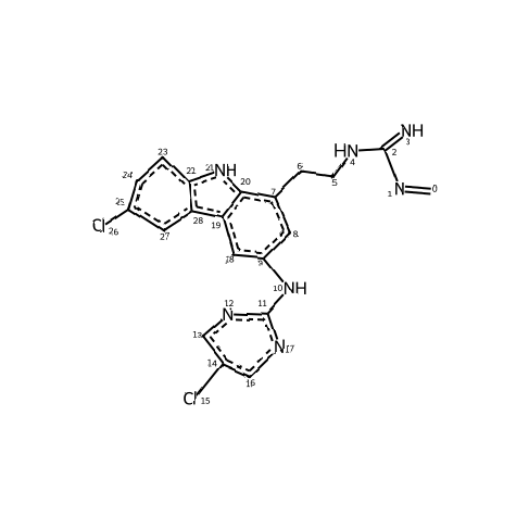 C=NC(=N)NCCc1cc(Nc2ncc(Cl)cn2)cc2c1[nH]c1ccc(Cl)cc12